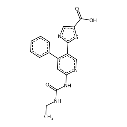 CCNC(=O)Nc1cc(-c2ccccc2)c(-c2ncc(C(=O)O)s2)cn1